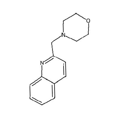 c1ccc2nc(CN3CCOCC3)ccc2c1